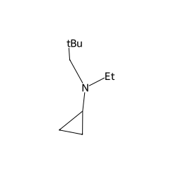 CCN(CC(C)(C)C)C1CC1